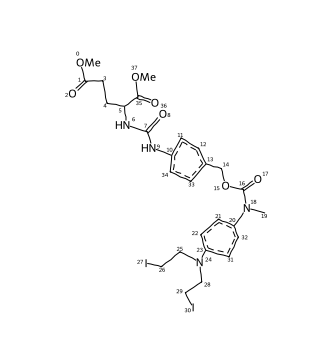 COC(=O)CCC(NC(=O)Nc1ccc(COC(=O)N(C)c2ccc(N(CCI)CCI)cc2)cc1)C(=O)OC